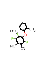 CCOC(=O)c1cccc(C)c1Oc1c(F)c(F)c(C#N)c(C#N)c1F